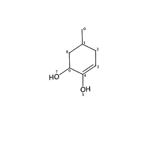 CC1CC=C(O)C(O)C1